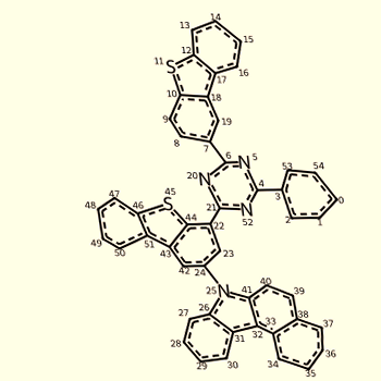 c1ccc(-c2nc(-c3ccc4sc5ccccc5c4c3)nc(-c3cc(-n4c5ccccc5c5c6ccccc6ccc54)cc4c3sc3ccccc34)n2)cc1